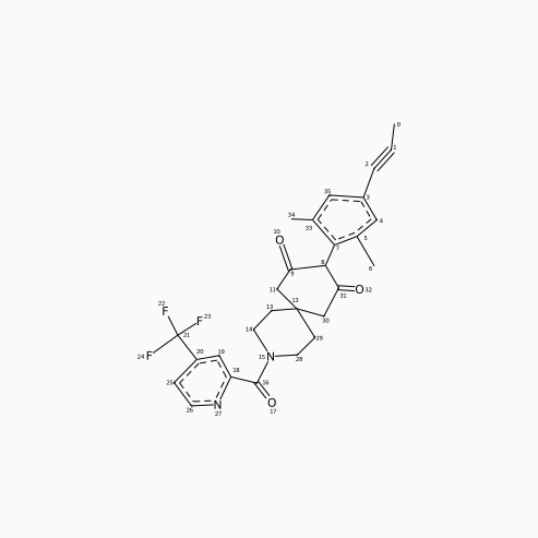 CC#Cc1cc(C)c(C2C(=O)CC3(CCN(C(=O)c4cc(C(F)(F)F)ccn4)CC3)CC2=O)c(C)c1